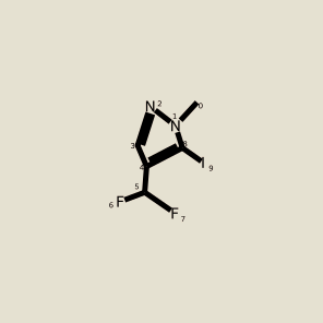 Cn1ncc(C(F)F)c1I